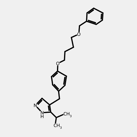 CC(C)c1[nH]ncc1Cc1ccc(OCCCCOCc2ccccc2)cc1